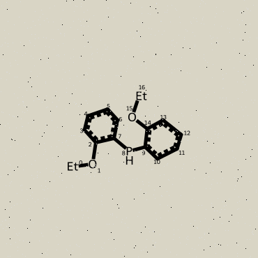 CCOc1ccccc1Pc1ccccc1OCC